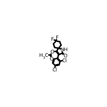 CC(=O)OC1=C(c2ccc(Cl)cc2Cl)C(=O)NC12CCC(F)(F)CC2